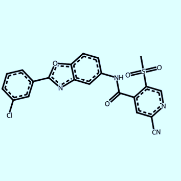 CS(=O)(=O)c1cnc(C#N)cc1C(=O)Nc1ccc2oc(-c3cccc(Cl)c3)nc2c1